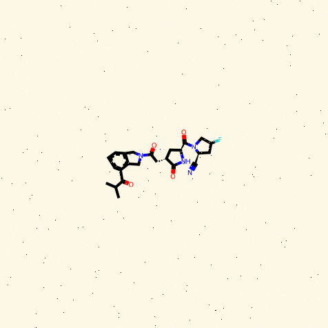 CC(C)C(=O)c1cccc2c1CN(C(=O)C[C@@H]1C[C@@H](C(=O)N3CC(F)C[C@H]3C#N)NC1=O)C2